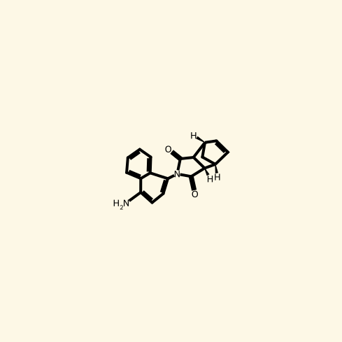 Nc1ccc(N2C(=O)C3[C@@H]4C=C[C@@H](C4)[C@@H]3C2=O)c2ccccc12